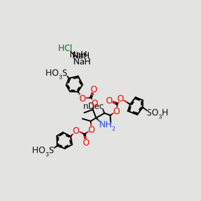 CCCCCCCCCCC(C(C)OC(=O)Oc1ccc(S(=O)(=O)O)cc1)C(N)(C(C)OC(=O)Oc1ccc(S(=O)(=O)O)cc1)C(C)OC(=O)Oc1ccc(S(=O)(=O)O)cc1.Cl.[NaH].[NaH].[NaH]